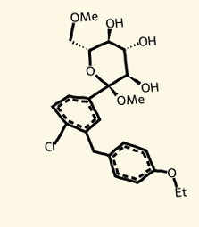 CCOc1ccc(Cc2cc([C@]3(OC)O[C@H](COC)[C@@H](O)[C@H](O)[C@H]3O)ccc2Cl)cc1